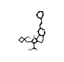 NC1(Cc2[nH]c3c(c2C(=O)O)CCc2cnc(C=Cc4ccccc4)cc2-3)CCC1